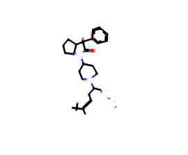 CC(=CCC(CO[SiH](C)C)N1CCC(NC(=O)C(O)(c2ccccc2)C2CCCC2)CC1)C(C)(C)C